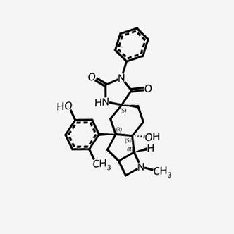 Cc1ccc(O)cc1[C@]12CC3CN(C)[C@H]3[C@]1(O)CC[C@@]1(C2)NC(=O)N(c2ccccc2)C1=O